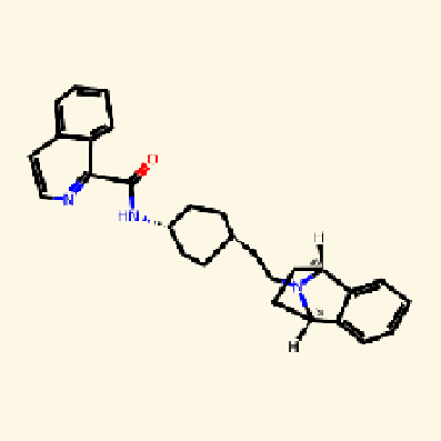 O=C(N[C@H]1CC[C@H](CCN2[C@@H]3CC[C@H]2c2ccccc23)CC1)c1nccc2ccccc12